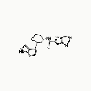 O=C(NN1CCOC(c2cccc3[nH]ncc23)C1)c1cc2ncncc2o1